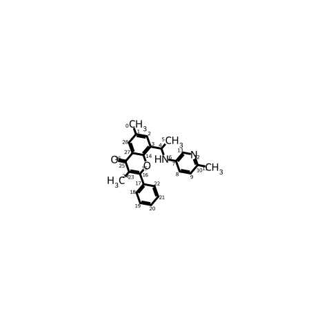 Cc1cc(C(C)Nc2ccc(C)nc2)c2oc(-c3ccccc3)c(C)c(=O)c2c1